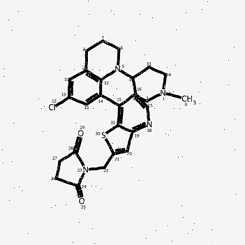 CN1CCC(N2CCCc3cc(Cl)cc(-c4ccnc5cc(CN6C(=O)CCC6=O)sc45)c32)CC1